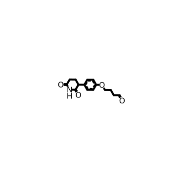 O=CCCCOc1ccc(C2CCC(=O)NC2=O)cc1